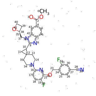 COC(=O)c1ccc2nc(C3CC34CCN(c3ccc(F)c(OCc5ccc(C#N)cc5F)n3)CC4)n(C[C@@H]3CCO3)c2c1